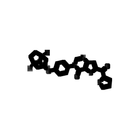 CN1[C@@H]2CC[C@H]1CC(Oc1ccc(-n3cnc4cc(C(=O)c5cccs5)sc4c3=O)cc1)C2